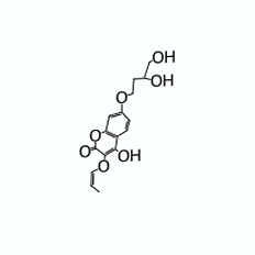 C/C=C\Oc1c(O)c2ccc(OCCC(O)CO)cc2oc1=O